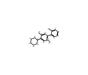 Cc1ccccc1-c1cc(C)c(C2CCCCC2)c[n+]1C